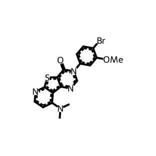 COc1cc(-n2cnc3c(sc4nccc(N(C)C)c43)c2=O)ccc1Br